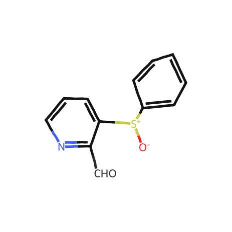 O=Cc1ncccc1[S+]([O-])c1ccccc1